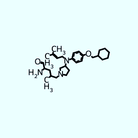 CC(C)=CCN(c1ccc(OCC2CCCCC2)cc1)C1CCN(CC(C)CC(N)C=O)C1